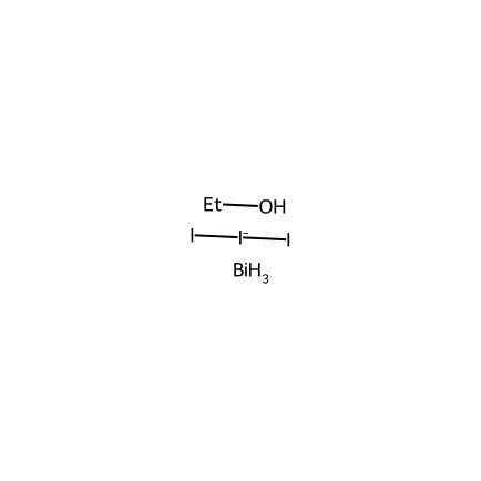 CCO.I[I-]I.[BiH3]